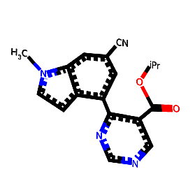 CC(C)OC(=O)c1cncnc1-c1cc(C#N)cc2c1ccn2C